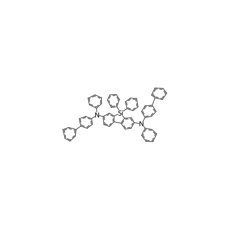 c1ccc(-c2ccc(N(c3ccccc3)c3ccc4c(c3)[Si](c3ccccc3)(c3ccccc3)c3cc(N(c5ccccc5)c5ccc(-c6ccccc6)cc5)ccc3-4)cc2)cc1